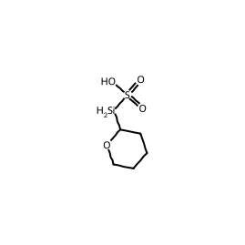 O=S(=O)(O)[SiH2]C1CCCCO1